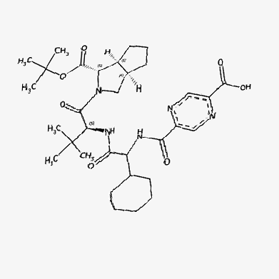 CC(C)(C)OC(=O)[C@@H]1[C@H]2CCC[C@H]2CN1C(=O)[C@@H](NC(=O)C(NC(=O)c1cnc(C(=O)O)cn1)C1CCCCC1)C(C)(C)C